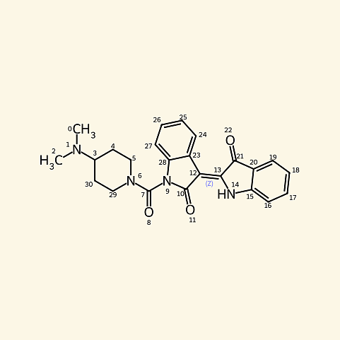 CN(C)C1CCN(C(=O)N2C(=O)/C(=C3\Nc4ccccc4C3=O)c3ccccc32)CC1